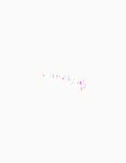 O=C(O)CCN1CCN(CC(=O)Nc2cccc(NC3CCC(=O)NC3=O)c2)CC1